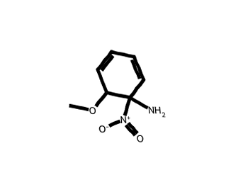 COC1C=CC=CC1(N)[N+](=O)[O-]